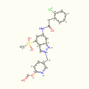 CS(=O)(=O)c1cc(NC(=O)Cc2ccccc2Cl)cc2nn(Cc3ccc(OC=O)nc3)cc12